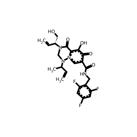 C=CC(C)N1CN([C@H](C=C)CO)C(=O)c2c(O)c(=O)c(C(=O)NCc3c(F)cc(F)cc3F)cn21